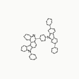 c1ccc(-c2ccc3c4ccc(-c5ccccc5)cc4n(-c4ccc(-c5nc6ccccc6c6c5ccc5c6c6ccccc6n5-c5ccccc5)cc4)c3c2)cc1